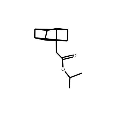 CC(C)OC(=O)CC12C3C4C5C3C1C5C42